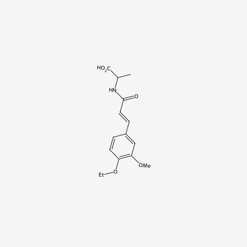 CCOc1ccc(/C=C/C(=O)NC(C)C(=O)O)cc1OC